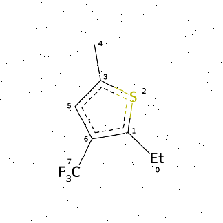 CCc1sc(C)cc1C(F)(F)F